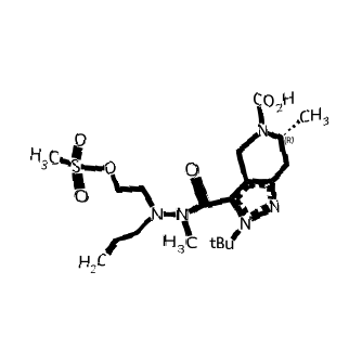 C=CCN(CCOS(C)(=O)=O)N(C)C(=O)c1c2c(nn1C(C)(C)C)C[C@@H](C)N(C(=O)O)C2